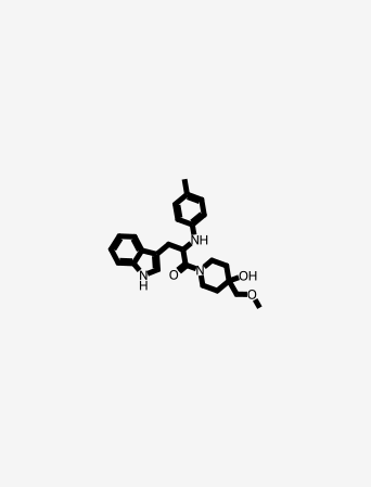 COCC1(O)CCN(C(=O)C(Cc2c[nH]c3ccccc23)Nc2ccc(C)cc2)CC1